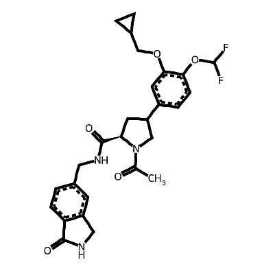 CC(=O)N1CC(c2ccc(OC(F)F)c(OCC3CC3)c2)C[C@@H]1C(=O)NCc1ccc2c(c1)CNC2=O